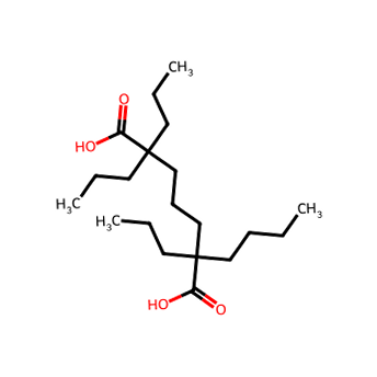 CCCCC(CCC)(CCCC(CCC)(CCC)C(=O)O)C(=O)O